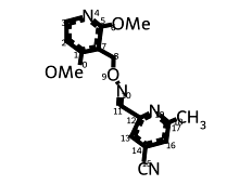 COc1ccnc(OC)c1CON=Cc1cc(C#N)cc(C)n1